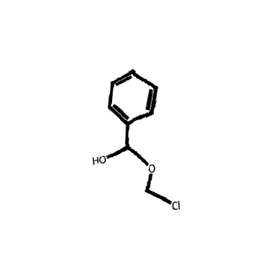 OC(OCCl)c1ccccc1